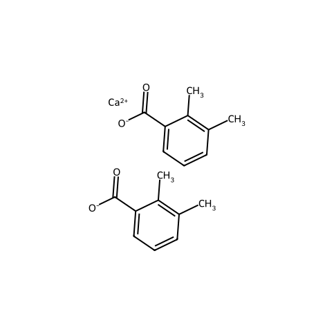 Cc1cccc(C(=O)[O-])c1C.Cc1cccc(C(=O)[O-])c1C.[Ca+2]